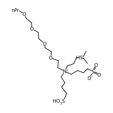 CCCOCCOCCOCCOCC[N+](CCCCS(=O)(=O)[O-])(CCCCS(=O)(=O)O)CCC[SiH](C)C